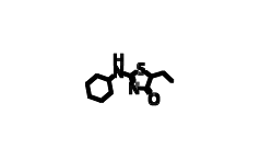 CCC1SC(NC2CCCCC2)=NC1=O